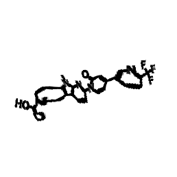 Cn1c2c(c3ccc(-n4ccc(-c5ccc(C(F)(F)F)nc5)cc4=O)nc31)CN(C(=O)O)CC2